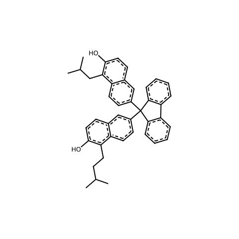 CC(C)CCc1c(O)ccc2cc(C3(c4ccc5c(CC(C)C)c(O)ccc5c4)c4ccccc4-c4ccccc43)ccc12